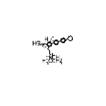 Cc1cc(-c2ccc(C3CCCCC3)cc2)ccc1-c1ccc(OCCO)c(CCCOC(=O)C(C)(C)C)c1